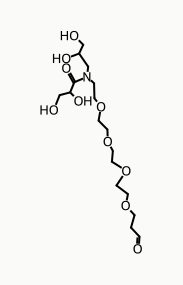 O=CCCOCCOCCOCCOCCN(CC(O)CO)C(=O)C(O)CO